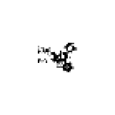 CCNC(=O)OCc1c(C(=O)OCC)c(C(=O)OCC)c2c(-c3ccccc3)cc(N3CCOCC3)nn12